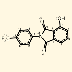 O=C1c2cccc(O)c2C(=O)N1c1ccc(C(F)(F)F)cc1